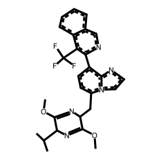 COC1=NC(C(C)C)C(OC)=NC1Cc1ccc(-c2ncc3ccccc3c2C(F)(F)F)c2nccn12